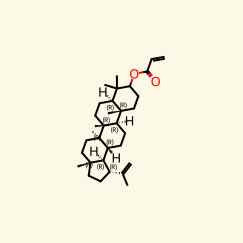 C=CC(=O)OC1CC[C@]2(C)[C@H]3CC[C@@H]4[C@H]5[C@H](C(=C)C)CC[C@]5(C)CC[C@@]4(C)[C@]3(C)CC[C@H]2C1(C)C